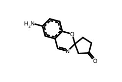 Nc1ccc2c(c1)C=NC1(CCC(=O)C1)O2